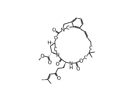 COC(=O)[C@@H]1C[C@@H]2CN1C(=O)[C@H](CCC(=O)C=C(C)C)NC(=O)OCC(C)(C)CC/C=C/c1cccc3c1CN(C3)C(=O)O2